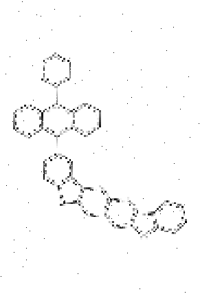 c1ccc(-c2c3ccccc3c(-c3ccc4oc5cc6cc7oc8ccccc8c7cc6cc5c4c3)c3ccccc23)cc1